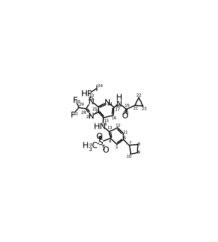 CS(=O)(=O)c1cc(C2CCC2)ccc1Nc1cc(NC(=O)C2CC2)nc2c1nc(C(F)F)n2PI